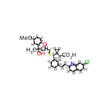 COc1ccc(OCCS[C@H](c2cccc(/C=C/c3ccc4ccc(Cl)cc4n3)c2)C2(CC(=O)O)CC2)c(C(C)(C)O)c1